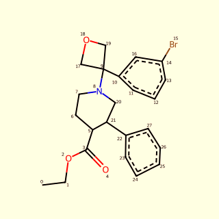 CCOC(=O)C1CCN(C2(c3cccc(Br)c3)COC2)CC1c1ccccc1